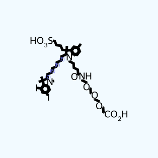 Cc1ccc2c(c1)C(C)(CCCCS(=O)(=O)O)C(/C=C/C=C/C=C/C=C1\N(C)c3cc(I)cc(I)c3C1(C)C)=[N+]2CCCCC(=O)NCCOCCOCCOCCC(=O)O